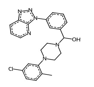 Cc1ccc(Cl)cc1N1CCN(C(O)c2cccc(-n3nnc4cccnc43)c2)CC1